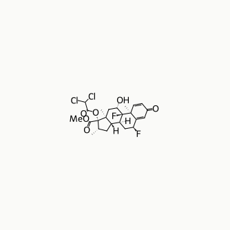 COC(=O)[C@]1(OC(=O)C(Cl)Cl)[C@@H](C)C[C@H]2[C@@H]3C[C@H](F)C4=CC(=O)C=C[C@]4(C)[C@@]3(F)[C@@H](O)C[C@@]21C